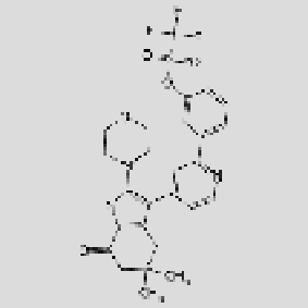 CC1(C)CC(=O)c2sc(N3CCOCC3)c(-c3ccnc(-c4cccc(OS(=O)(=O)C(F)(F)F)c4)c3)c2C1